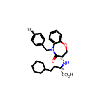 CCc1ccc(CN2C(=O)[C@@H](N[C@@H](CCC3CCCCC3)C(=O)O)COc3ccccc32)cc1